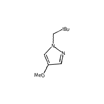 COc1cnn(CC(C)(C)C)c1